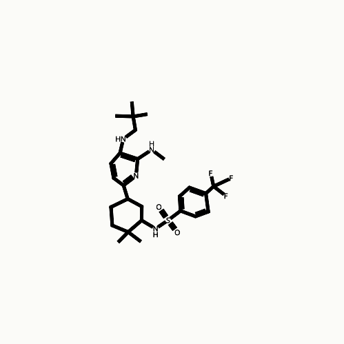 CNc1nc(C2CCC(C)(C)C(NS(=O)(=O)c3ccc(C(F)(F)F)cc3)C2)ccc1NCC(C)(C)C